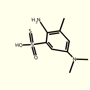 Cc1cc(N(C)C)cc(S(=O)(O)=S)c1N